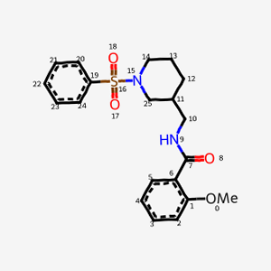 COc1ccccc1C(=O)NCC1CCCN(S(=O)(=O)c2ccccc2)C1